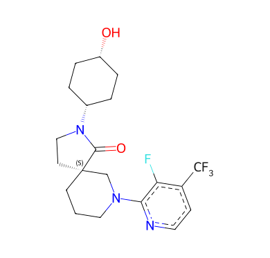 O=C1N([C@H]2CC[C@@H](O)CC2)CC[C@]12CCCN(c1nccc(C(F)(F)F)c1F)C2